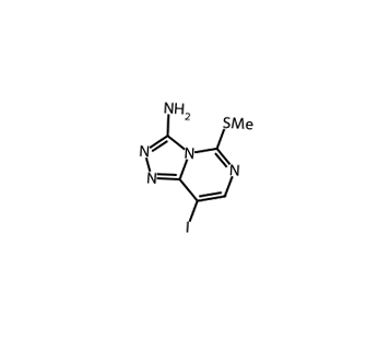 CSc1ncc(I)c2nnc(N)n12